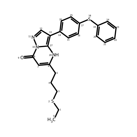 CCSCCCc1cc(=O)n2ncc(-c3ccc(Sc4ccccc4)cc3)c2[nH]1